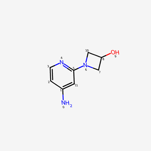 Nc1ccnc(N2CC(O)C2)c1